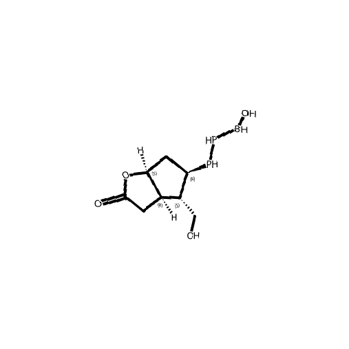 O=C1C[C@@H]2[C@@H](CO)[C@H](PPBO)C[C@@H]2O1